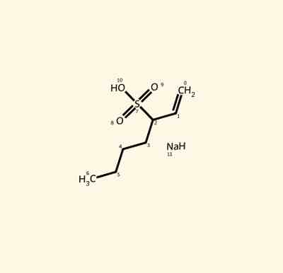 C=CC(CCCC)S(=O)(=O)O.[NaH]